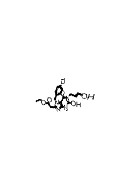 CCOC(=O)Cc1nc2c(n1Cc1ccc(Cl)cc1)C(=O)N(CCCO)C(O)N2C